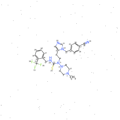 CN1CCN(N(CCc2cncn2Cc2ccc(C#N)cc2)C(=S)NCc2ccccc2C(F)(F)F)CC1